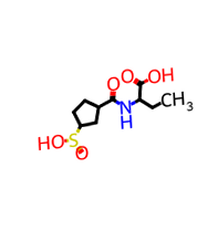 CCC(NC(=O)C1CCC(S(=O)O)C1)C(=O)O